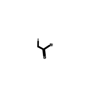 O=C([Si])CI